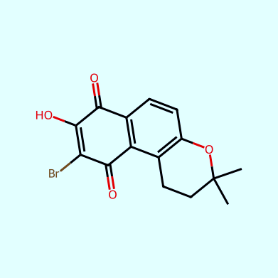 CC1(C)CCc2c(ccc3c2C(=O)C(Br)=C(O)C3=O)O1